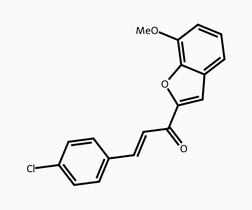 COc1cccc2cc(C(=O)/C=C/c3ccc(Cl)cc3)oc12